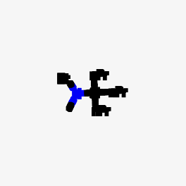 CCC[Si](CCC)(CCC)N(C)CC